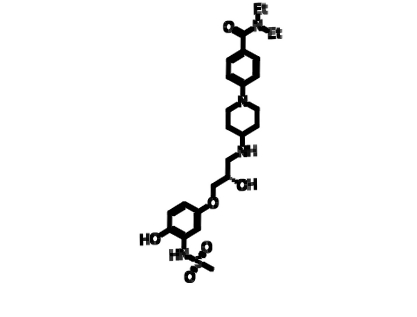 CCN(CC)C(=O)c1ccc(N2CCC(NC[C@H](O)COc3ccc(O)c(NS(C)(=O)=O)c3)CC2)cc1